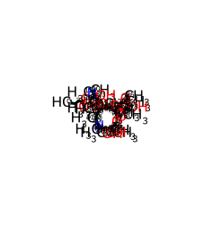 C#CCCC(=O)O[C@H]1[C@H](N(C)C)[C@@H](O)[C@H](O[C@@H]2[C@@H](C)[C@H](O[C@H]3C[C@@](C)(OC)[C@@H](O)[C@H](C)O3)[C@@H](C)C(=O)O[C@H](CC)[C@@](C)(O)[C@H](O)[C@@H](C)N(C)C[C@H](C)C[C@@]2(C)O)O[C@@H]1C